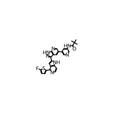 CC(C)(C)C(=O)Nc1cncc(-c2cnc3[nH]nc(-c4cc5c(-c6ccc(F)s6)nccc5[nH]4)c3c2)c1